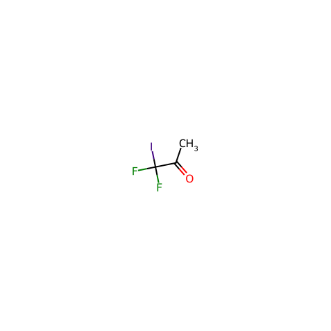 CC(=O)C(F)(F)I